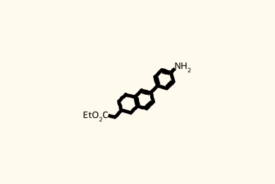 CCOC(=O)CC1CCc2cc(-c3ccc(N)cc3)ccc2C1